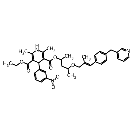 CCOC(=O)C1=C(C)NC(C)=C(C(=O)OC(C)CC(C)OC/C(C)=C/c2ccc(Cc3cccnc3)cc2)C1c1cccc([N+](=O)[O-])c1